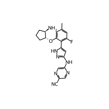 Cc1cc(F)c(-c2cc(Nc3cnc(C#N)cn3)n[nH]2)c(O[C@@H]2CCC[C@H]2N)c1